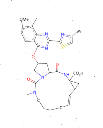 COc1ccc2c(OC3CC4C(=O)NC5(C(=O)O)CC5/C=C/CCCCN(C)C(=O)N4C3)nc(-c3nc(C(C)C)cs3)nc2c1C